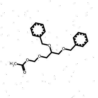 CC(=O)OCOCC(COCc1ccccc1)OCc1ccccc1